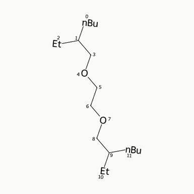 CCCCC(CC)COCCOCC(CC)CCCC